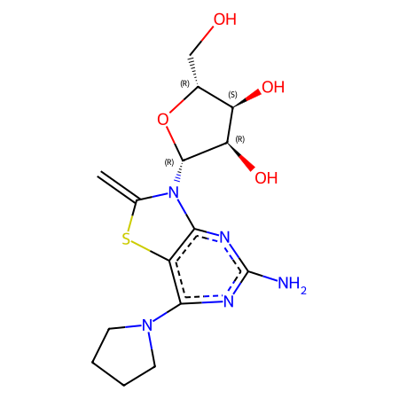 C=C1Sc2c(N3CCCC3)nc(N)nc2N1[C@@H]1O[C@H](CO)[C@@H](O)[C@H]1O